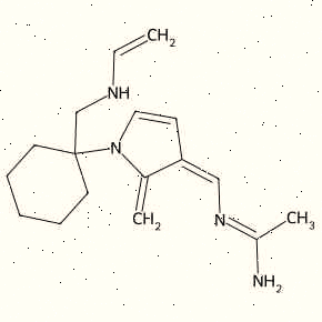 C=CNCC1(n2cc/c(=C/N=C(\C)N)c2=C)CCCCC1